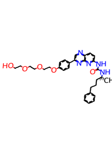 C[C@H](CCCc1ccccc1)NC(=O)Nc1ccc2ncc(-c3ccc(OCCOCCOCCO)cc3)nc2n1